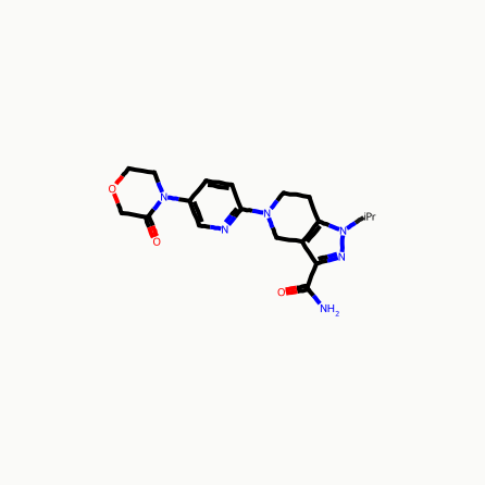 CC(C)n1nc(C(N)=O)c2c1CCN(c1ccc(N3CCOCC3=O)cn1)C2